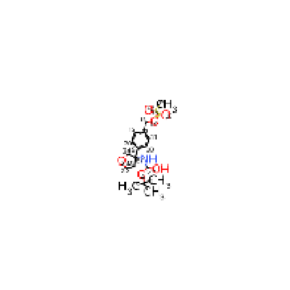 CC(C)(C)OC(O)NC1(c2ccc(COS(C)(=O)=O)cc2)CCOC1